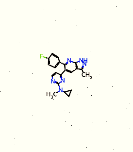 Cc1n[nH]c2nc(-c3ccc(F)cc3)c(-c3ccnc(N(C)C4CC4)n3)cc12